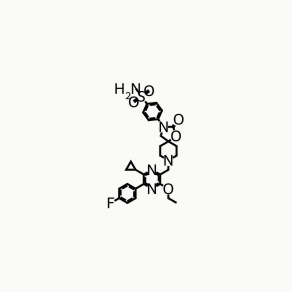 CCOc1nc(-c2ccc(F)cc2)c(C2CC2)nc1CN1CCC2(CC1)CN(c1ccc(S(N)(=O)=O)cc1)C(=O)O2